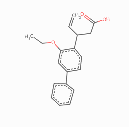 C=CC(CC(=O)O)c1ccc(-c2ccccc2)cc1OCC